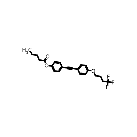 CCCCC(=O)Oc1ccc(C#Cc2ccc(OCCCC(F)(F)F)cc2)cc1